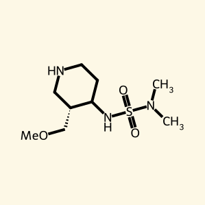 COC[C@@H]1CNCCC1NS(=O)(=O)N(C)C